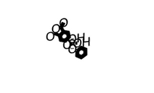 O=C1OC(=O)c2ccccc21.O=P(O)(O)Oc1ccccc1